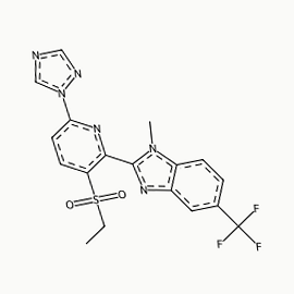 CCS(=O)(=O)c1ccc(-n2cncn2)nc1-c1nc2cc(C(F)(F)F)ccc2n1C